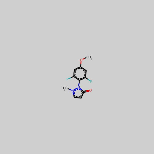 COc1cc(F)c(-n2c(=O)ccn2C)c(F)c1